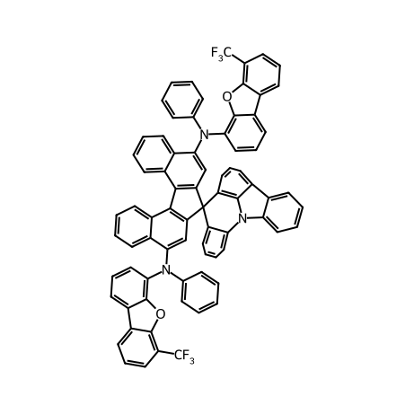 FC(F)(F)c1cccc2c1oc1c(N(c3ccccc3)c3cc4c(c5ccccc35)-c3c(cc(N(c5ccccc5)c5cccc6c5oc5c(C(F)(F)F)cccc56)c5ccccc35)C43c4ccccc4-n4c5ccccc5c5cccc3c54)cccc12